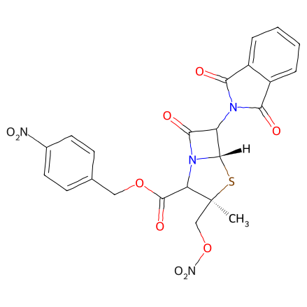 C[C@@]1(CO[N+](=O)[O-])S[C@H]2C(N3C(=O)c4ccccc4C3=O)C(=O)N2C1C(=O)OCc1ccc([N+](=O)[O-])cc1